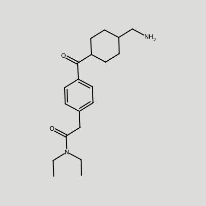 CCN(CC)C(=O)Cc1ccc(C(=O)C2CCC(CN)CC2)cc1